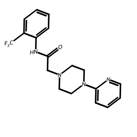 O=C(CN1CCN(c2ccccn2)CC1)Nc1ccccc1C(F)(F)F